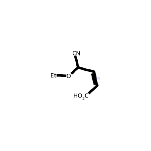 CCOC(C#N)/C=C\C(=O)O